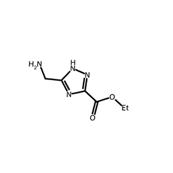 CCOC(=O)c1n[nH]c(CN)n1